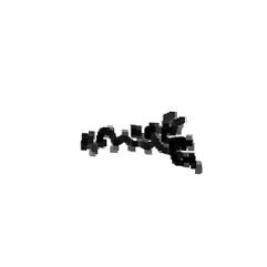 CCCCCCCC(C)(CCC)C(O)C(F)(F)F